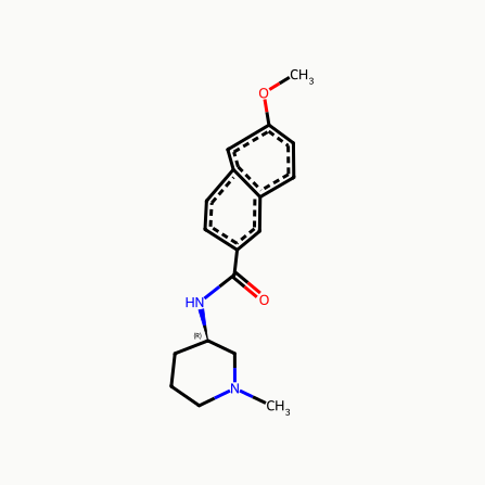 COc1ccc2cc(C(=O)N[C@@H]3CCCN(C)C3)ccc2c1